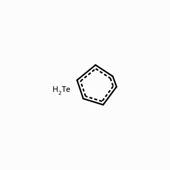 [TeH2].c1ccccc1